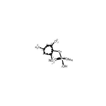 COP(=O)(O)Oc1c([N+](=O)[O-])cc(C)cc1C(F)(F)F